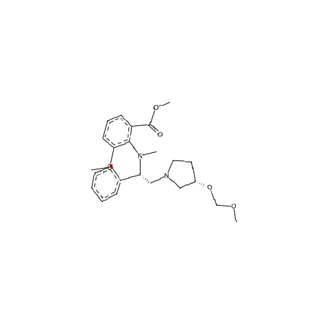 COCO[C@H]1CCN(C[C@H](c2ccccc2)N(C)c2c(OC)cccc2C(=O)OC)C1